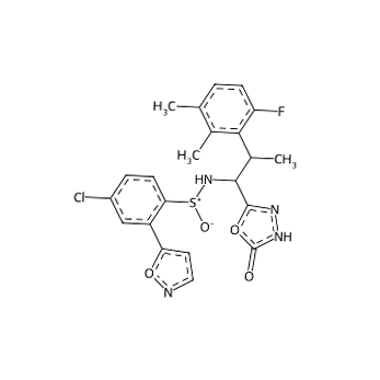 Cc1ccc(F)c(C(C)C(N[S+]([O-])c2ccc(Cl)cc2-c2ccno2)c2n[nH]c(=O)o2)c1C